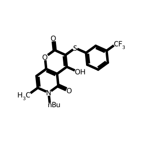 CCCCn1c(C)cc2oc(=O)c(Sc3cccc(C(F)(F)F)c3)c(O)c2c1=O